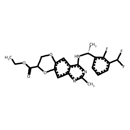 CCOC(=O)C1COc2cc3c(N[C@H](C)c4cccc(C(F)F)c4F)nc(C)nc3cc2O1